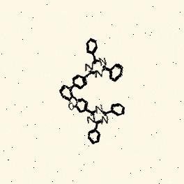 c1ccc(-c2nc(-c3ccccc3)nc(-c3ccc(-c4cccc5oc6cc(-c7nc(-c8ccccc8)nc(-c8ccccc8)n7)ccc6c45)cc3)n2)cc1